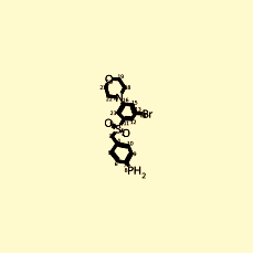 O=S(=O)(Cc1ccc(P)cc1)c1cc(Br)cc(N2CCOCC2)c1